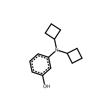 Oc1cccc(N(C2CCC2)C2CCC2)c1